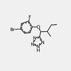 CCC(C)[C@H](Oc1ccc(Br)cc1F)c1nn[nH]n1